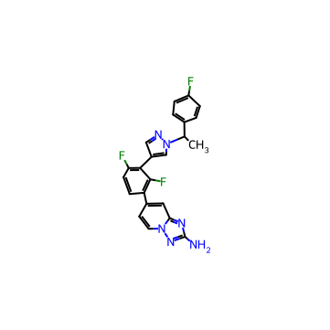 CC(c1ccc(F)cc1)n1cc(-c2c(F)ccc(-c3ccn4nc(N)nc4c3)c2F)cn1